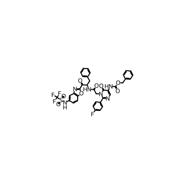 O=C(Cn1c(-c2ccc(F)cc2)ncc(NC(=O)OCc2ccccc2)c1=O)NC(Cc1ccccc1)C(=O)c1nc2cc(NS(=O)(=O)C(F)(F)F)ccc2o1